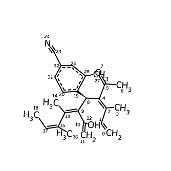 C=C/C(C)=C(/C(C)=O)[C@@H](/C(C(=C)O)=C(C)/C(C)=C\C)c1ccc(C#N)cc1C